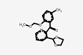 COCOc1ccc(C)cc1C(=O)c1ncccc1C1OCCO1